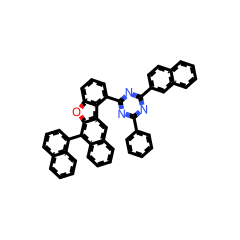 c1ccc(-c2nc(-c3ccc4ccccc4c3)nc(-c3cccc4oc5c(-c6cccc7ccccc67)c6ccccc6cc5c34)n2)cc1